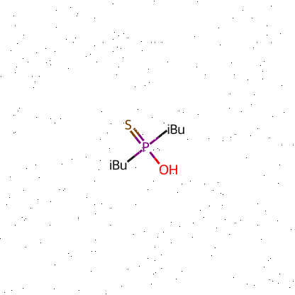 CCC(C)P(O)(=S)C(C)CC